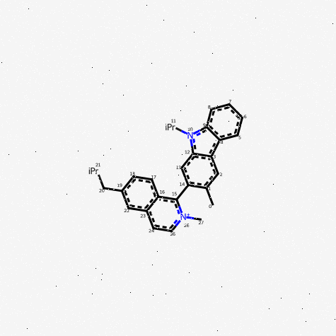 Cc1cc2c3ccccc3n(C(C)C)c2cc1-c1c2ccc(CC(C)C)cc2cc[n+]1C